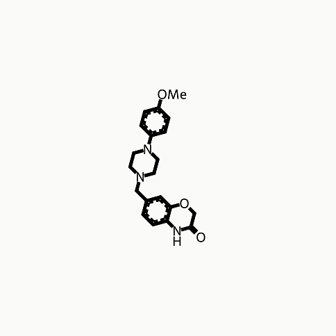 COc1ccc(N2CCN(Cc3ccc4c(c3)OCC(=O)N4)CC2)cc1